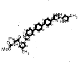 COC(=O)N[C@H](C(=O)N1C[C@@H](C)C[C@H]1c1nc2cc(-c3ccc(-c4ccc(-c5c[nH]c([C@@H]6C[C@H](C)CN6)n5)cc4)cc3)ccc2[nH]1)C(C)C